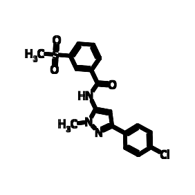 Cn1nc(-c2ccc(Cl)cc2)cc1NC(=O)c1cccc(S(C)(=O)=O)c1